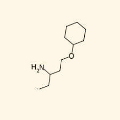 [CH2]CC(N)CCOC1CCCCC1